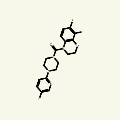 O=C(N1CCN(c2ccc(F)cn2)CC1)N1CCOc2c1ccc(F)c2F